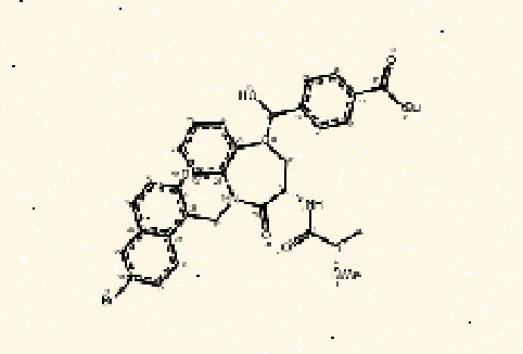 CN[C@@H](C)C(=O)N[C@H]1CN(C(O)c2ccc(C(=O)C(C)(C)C)cc2)c2ccccc2N(Cc2c(OC)ccc3cc(Br)ccc23)C1=O